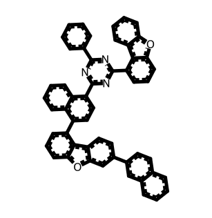 c1ccc(-c2nc(-c3ccc(-c4cccc5oc6cc(-c7ccc8ccccc8c7)ccc6c45)c4ccccc34)nc(-c3cccc4oc5ccccc5c34)n2)cc1